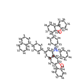 c1cc(-c2ccc(-c3cccc4ccccc34)cc2)cc(N(c2ccc(-c3cccc4c3oc3ccccc34)cc2)c2ccccc2-c2cccc3c2oc2ccccc23)c1